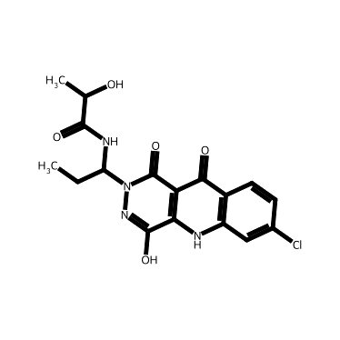 CCC(NC(=O)C(C)O)n1nc(O)c2[nH]c3cc(Cl)ccc3c(=O)c2c1=O